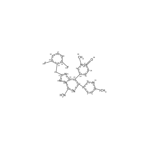 Cc1ccc(-c2nc(N)n3nc(Cc4c(F)cccc4F)nc3c2-c2ccc(=O)n(C)c2)cn1